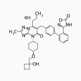 CCCc1c(Cc2ccc(-c3ccccc3-c3noc(=O)[nH]3)cc2)c(=O)n([C@H]2CC[C@H](OCC3(O)CCC3)CC2)c2nc(C)nn12.[KH]